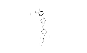 CN(C)c1cccc(N2CCN(CCC3CCC(NC(=O)CC#N)CC3)CC2)c1